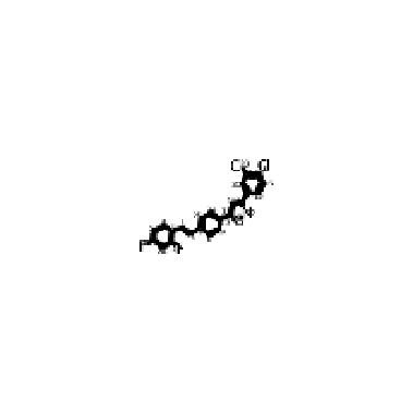 Fc1ccc(C=Cc2ccc(-c3cc(-c4ccc(Cl)c(Cl)c4)no3)cc2)c(F)c1